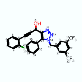 OC(C#Cc1ccccc1F)c1nnn(Cc2cc(C(F)(F)F)cc(C(F)(F)F)c2)c1-c1ccccc1